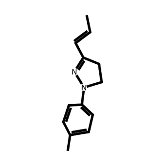 C/C=C/C1=NN(c2ccc(C)cc2)CC1